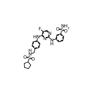 NS(=O)(=O)c1cccc(Nc2ncc(F)c(Nc3ccc(CNS(=O)(=O)C4CCCC4)cc3)n2)c1